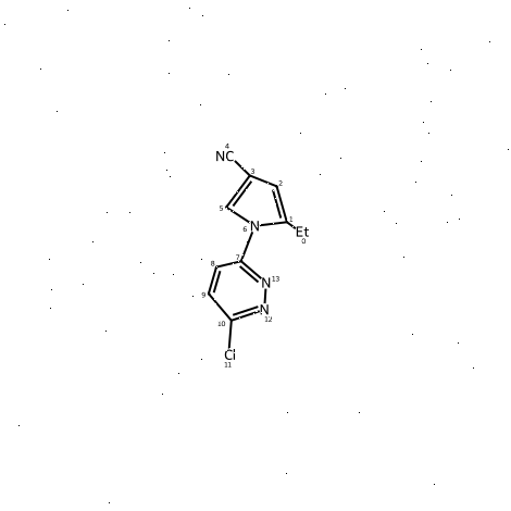 CCc1cc(C#N)cn1-c1ccc(Cl)nn1